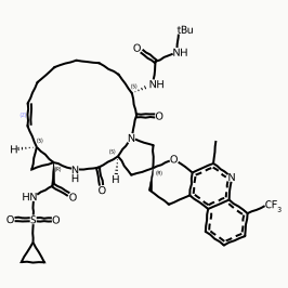 Cc1nc2c(C(F)(F)F)cccc2c2c1O[C@]1(CC2)C[C@H]2C(=O)N[C@]3(C(=O)NS(=O)(=O)C4CC4)C[C@H]3/C=C\CCCCC[C@H](NC(=O)NC(C)(C)C)C(=O)N2C1